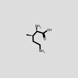 C[C@H](CCN)[C@@H](N)C(=O)O